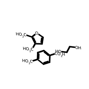 O=C(O)c1ccc(C(=O)O)cc1.O=C(O)c1ccoc1C(=O)O.OCCO